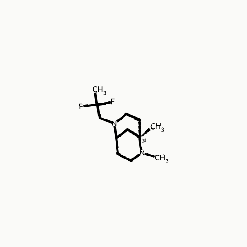 CN1CCC2C[C@]1(C)CCN2CC(C)(F)F